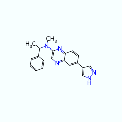 CC(c1ccccc1)N(C)c1cnc2cc(-c3cn[nH]c3)ccc2n1